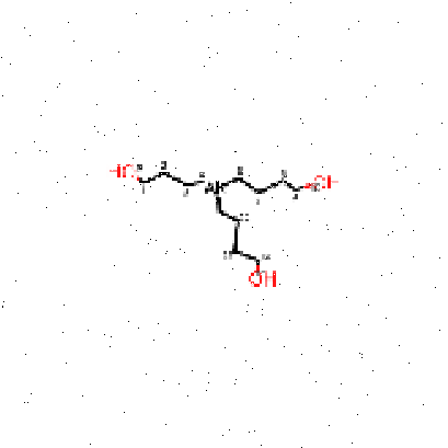 OCCC[CH2][Al]([CH2]CCCO)[CH2]CCCO